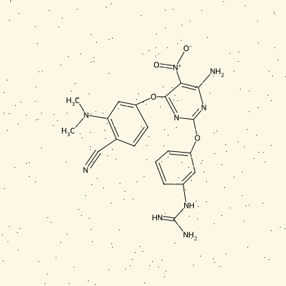 CN(C)c1cc(Oc2nc(Oc3cccc(NC(=N)N)c3)nc(N)c2[N+](=O)[O-])ccc1C#N